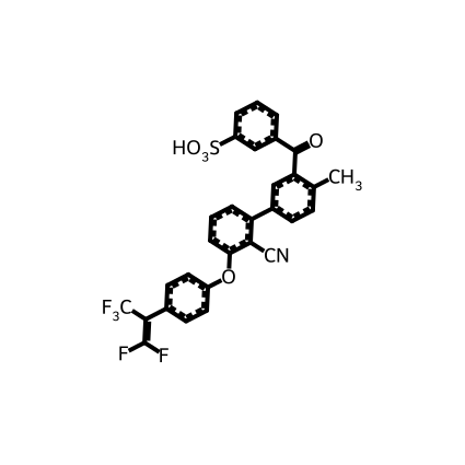 Cc1ccc(-c2cccc(Oc3ccc(C(=C(F)F)C(F)(F)F)cc3)c2C#N)cc1C(=O)c1cccc(S(=O)(=O)O)c1